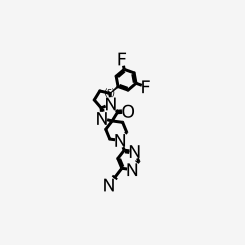 N#Cc1cc(N2CCC3(CC2)N=C2CC[C@@H](c4cc(F)cc(F)c4)N2C3=O)ncn1